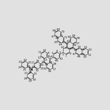 C1=CC(c2ccc(-c3c4ccccc4c(-c4ccc(N(c5ccccc5)c5ccccc5)cc4)c4ccccc34)cc2)Cc2c1c(-c1ccc3ccccc3c1)c1ccccc1c2-c1ccc2ccccc2c1